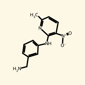 Cc1ccc([N+](=O)[O-])c(Nc2cccc(CN)c2)n1